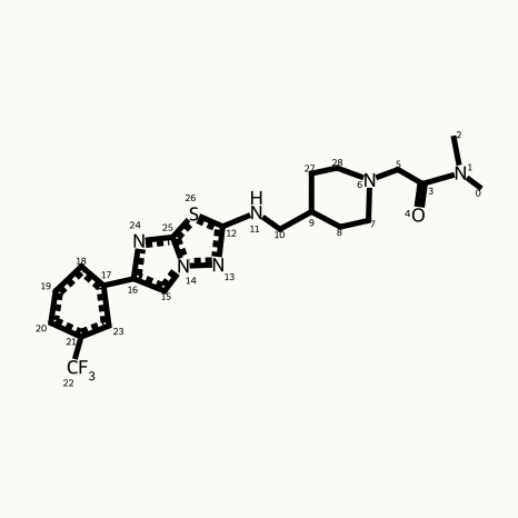 CN(C)C(=O)CN1CCC(CNc2nn3cc(-c4cccc(C(F)(F)F)c4)nc3s2)CC1